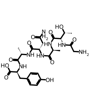 C[C@H](NC(=O)[C@H](CC(N)=O)NC(=O)[C@H](C)NC(=O)[C@@H](NC(=O)CN)[C@@H](C)O)C(=O)N[C@@H](Cc1ccc(O)cc1)C(=O)O